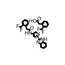 O=C(Cc1ccccc1C(F)F)Nc1cnn(-c2nc3ccccc3[nH]2)c1.O=C(O)Cc1ccccc1C(F)F